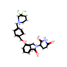 O=C1CCC(N2Cc3c(OCc4ccc(CN5CCCC(F)(F)C5)cc4)cccc3C2=O)C(=O)N1